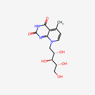 Cc1ccn(C[C@H](O)[C@H](O)[C@H](O)CO)c2nc(=O)[nH]c(=O)c1-2